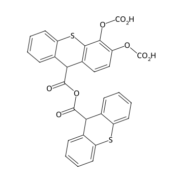 O=C(O)Oc1ccc2c(c1OC(=O)O)Sc1ccccc1C2C(=O)OC(=O)C1c2ccccc2Sc2ccccc21